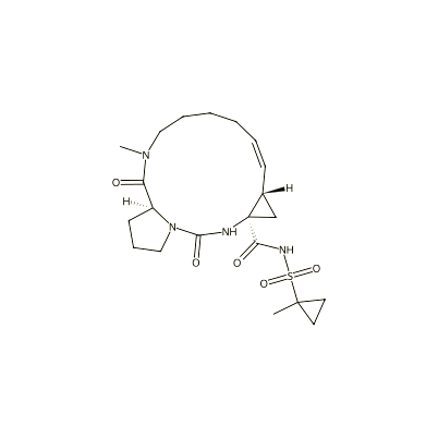 CN1CCCC/C=C\[C@@H]2C[C@@]2(C(=O)NS(=O)(=O)C2(C)CC2)NC(=O)N2CCC[C@H]2C1=O